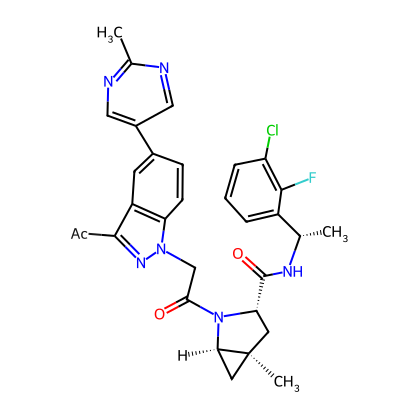 CC(=O)c1nn(CC(=O)N2[C@H](C(=O)N[C@@H](C)c3cccc(Cl)c3F)C[C@@]3(C)C[C@@H]23)c2ccc(-c3cnc(C)nc3)cc12